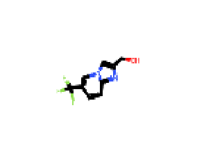 OCc1cn2cc(C(F)(F)F)ccc2n1